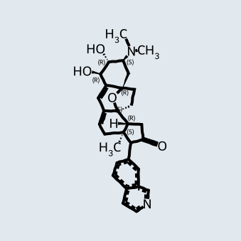 CN(C)[C@H]1C[C@@]23CC[C@@]4(O2)C(=CC[C@]2(C)C(c5ccc6ccncc6c5)C(=O)C[C@@H]42)C=C3[C@@H](O)[C@@H]1O